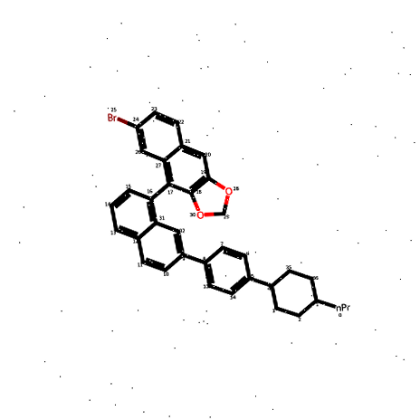 CCCC1CCC(c2ccc(-c3ccc4cccc(-c5c6c(cc7ccc(Br)cc57)OCO6)c4c3)cc2)CC1